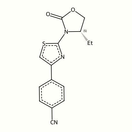 CC[C@H]1COC(=O)N1c1nc(-c2ccc(C#N)cc2)cs1